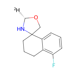 [2H][C@H]1NC2(CCCc3c(F)cccc32)CO1